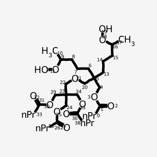 CCCC(=O)OCC(CCCC(C)OO)(CCCC(C)OO)COCC(COC(=O)CCC)(COC(=O)CCC)COC(=O)CCC